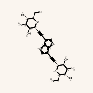 OC[C@H]1O[C@H](C#Cc2csc3c(C#C[C@H]4O[C@H](CO)[C@@H](O)[C@H](O)[C@@H]4O)csc23)[C@@H](O)[C@@H](O)[C@@H]1O